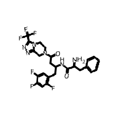 NC(Cc1ccccc1)C(=O)NC(CC(=O)N1CCn2c(nnc2C(F)(F)F)C1)Cc1cc(F)c(F)cc1F